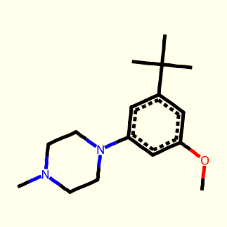 COc1cc(N2CCN(C)CC2)cc(C(C)(C)C)c1